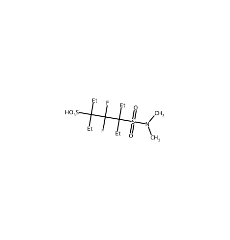 CCC(CC)(C(F)(F)C(CC)(CC)S(=O)(=O)N(C)C)S(=O)(=O)O